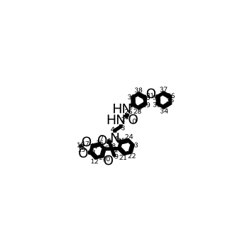 O=C(NCCN1C(=O)C2(COc3cc4c(cc32)OCO4)c2ccccc21)Nc1ccc(Oc2ccccc2)cc1